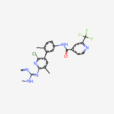 C=N/C(=N\c1nc(Cl)c(-c2cc(NC(=O)c3ccnc(C(F)(F)F)c3)ccc2C)cc1C)NC